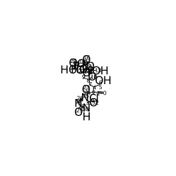 C#CC1(Cl)C(CO)[C@@H]([C@@H](C)OP(=O)(O)OP(=O)(O)OP(=O)(O)O)O[C@H]1n1cnc(=O)[nH]c1=O